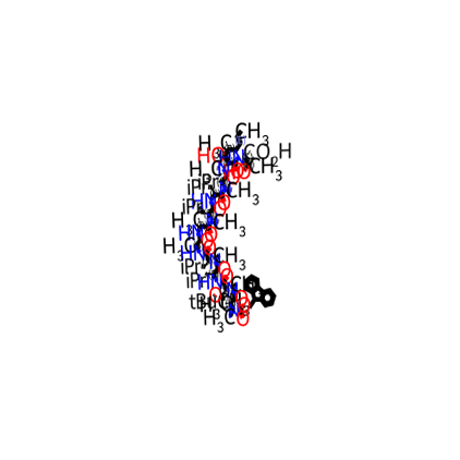 C/C=C/C[C@@H](C)[C@@H](O)[C@@H](C(=O)N[C@H](C(=O)O)[C@@H](C)O)N(C)C(=O)[C@H](C(C)C)N(C)C(=O)[C@H](CC(C)C)NC(=O)[C@H](CC(C)C)N(C)C(=O)[C@@H](C)NC(=O)[C@H](C)NC(=O)[C@H](CC(C)C)N(C)C(=O)[C@H](CC(C)C)NC(=O)[C@H](C(C)OC(C)(C)C)N(C)C(=O)[C@@H](C)N(C)C(=O)OCC1c2ccccc2-c2ccccc21